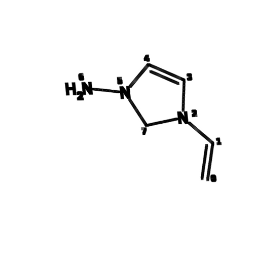 C=CN1C=CN(N)C1